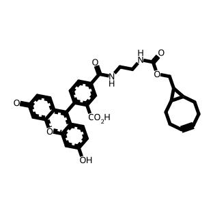 O=C(NCCNC(=O)c1ccc(-c2c3ccc(=O)cc-3oc3cc(O)ccc23)c(C(=O)O)c1)OCC1C2CCC#CCCC21